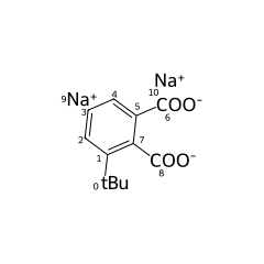 CC(C)(C)c1cccc(C(=O)[O-])c1C(=O)[O-].[Na+].[Na+]